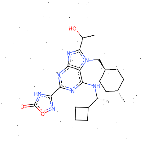 CC(O)c1nc2nc(-c3noc(=O)[nH]3)nc(N[C@H](C)C3CCC3)c2n1C[C@H]1CC[C@H](C)CC1